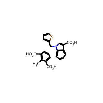 Cc1c(C(=O)O)cccc1C(=O)O.O=C(O)c1cn(Cc2cccs2)c2ccccc12